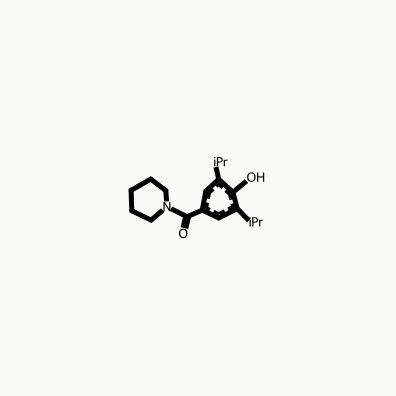 CC(C)c1cc(C(=O)N2CCCCC2)cc(C(C)C)c1O